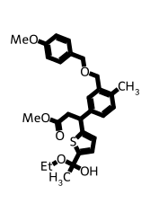 CCOC(C)(O)c1ccc(C(CC(=O)OC)c2ccc(C)c(COCc3ccc(OC)cc3)c2)s1